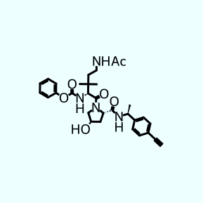 C#Cc1ccc([C@H](C)NC(=O)[C@@H]2C[C@@H](O)CN2C(=O)[C@H](NC(=O)Oc2ccccc2)C(C)(C)CCNC(C)=O)cc1